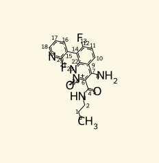 CCCNC(=O)c1c(N)c2ccc(F)c(-c3cccnc3F)c2n[n+]1[O-]